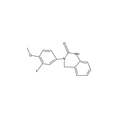 COc1ccc(N2Cc3ccccc3NC2=O)cc1F